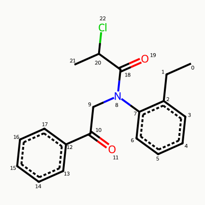 CCc1ccccc1N(CC(=O)c1ccccc1)C(=O)C(C)Cl